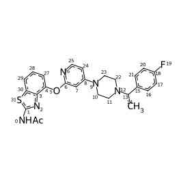 CC(=O)Nc1nc2c(Oc3cc(N4CCN(C(C)c5ccc(F)cc5)CC4)ccn3)cccc2s1